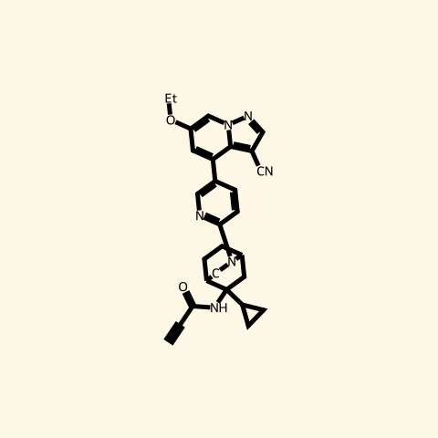 C#CC(=O)NC1(C2CC2)CC2CCC1CN2c1ccc(-c2cc(OCC)cn3ncc(C#N)c23)cn1